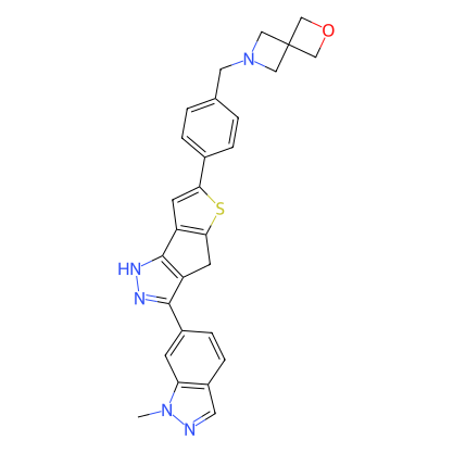 Cn1ncc2ccc(-c3n[nH]c4c3Cc3sc(-c5ccc(CN6CC7(COC7)C6)cc5)cc3-4)cc21